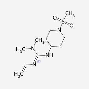 C=C/N=C(/NC1CCN(S(C)(=O)=O)CC1)N(C)C